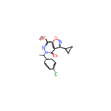 CC(c1ccc(Cl)cc1)n1nc(Br)c2onc(C3CC3)c2c1=O